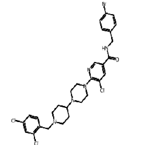 O=C(NCc1ccc(Br)cc1)c1cnc(N2CCN(C3CCN(Cc4ccc(Cl)cc4Cl)CC3)CC2)c(Cl)c1